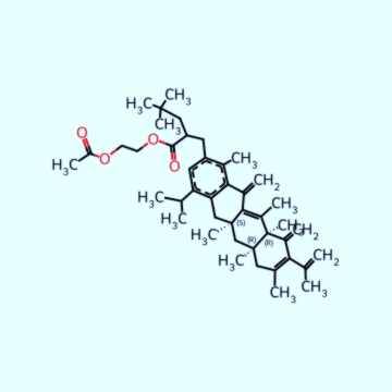 C=C(C)C1=C(C)C[C@@]2(C)C[C@@]3(C)Cc4c(C(C)C)cc(CC(CC(C)(C)C)C(=O)OCCOC(C)=O)c(C)c4C(=C)C3=C(C)[C@@]2(C)C1=C